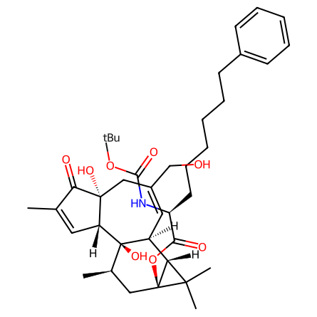 CC1=C[C@H]2[C@@]3(O)[C@H](C)C[C@]4(OC(=O)[C@H](CCCCCCc5ccccc5)NC(=O)OC(C)(C)C)[C@H]([C@@H]3C=C(CO)C[C@]2(O)C1=O)C4(C)C